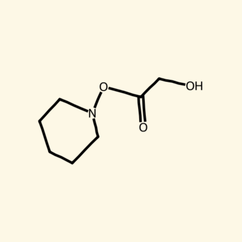 O=C(CO)ON1CCCCC1